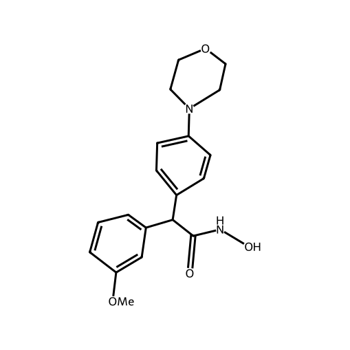 COc1cccc(C(C(=O)NO)c2ccc(N3CCOCC3)cc2)c1